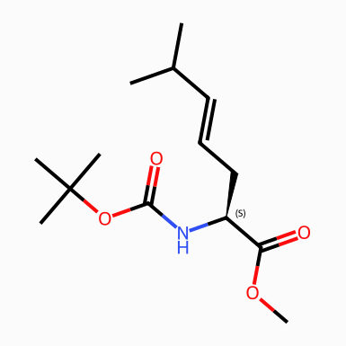 COC(=O)[C@H](CC=CC(C)C)NC(=O)OC(C)(C)C